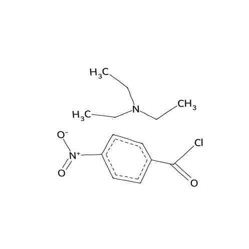 CCN(CC)CC.O=C(Cl)c1ccc([N+](=O)[O-])cc1